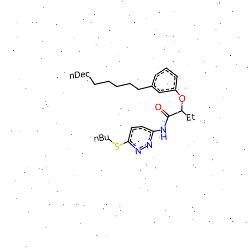 CCCCCCCCCCCCCCCc1cccc(OC(CC)C(=O)Nc2ccc(SCCCC)nn2)c1